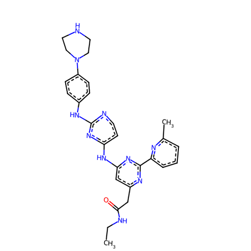 CCNC(=O)Cc1cc(Nc2ccnc(Nc3ccc(N4CCNCC4)cc3)n2)nc(-c2cccc(C)n2)n1